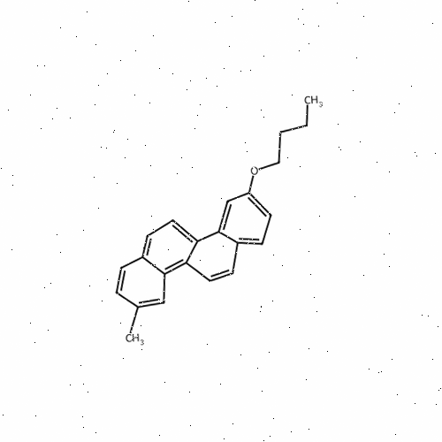 CCCCOc1ccc2ccc3c4cc(C)ccc4ccc3c2c1